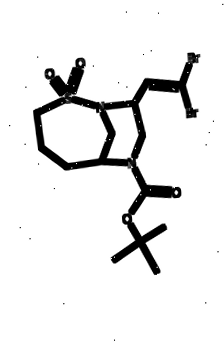 CC(C)(C)OC(=O)N1CC(C=C(Br)Br)N2CC1CCCS2(=O)=O